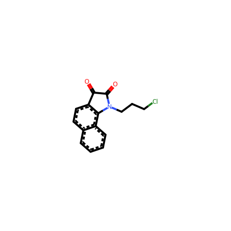 O=C1C(=O)N(CCCCl)c2c1ccc1ccccc21